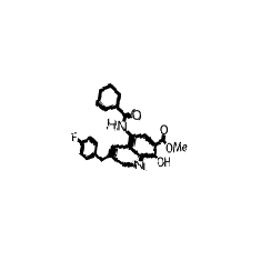 COC(=O)c1cc(NC(=O)C2CCCCC2)c2cc(Cc3ccc(F)cc3)cnc2c1O